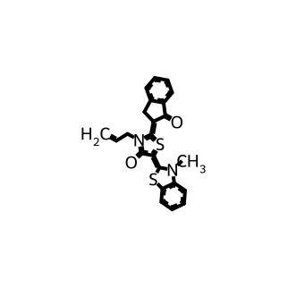 C=CCn1c(=O)/c(=C2\Sc3ccccc3N2C)s/c1=C1/Cc2ccccc2C1=O